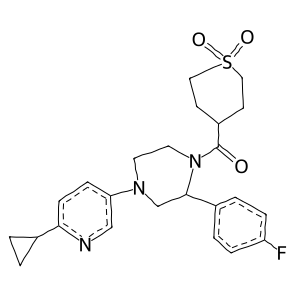 O=C(C1CCS(=O)(=O)CC1)N1CCN(c2ccc(C3CC3)nc2)CC1c1ccc(F)cc1